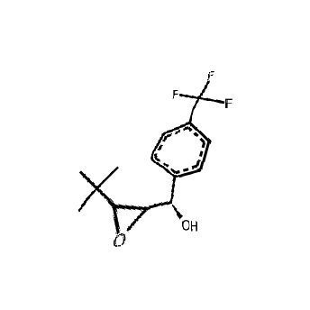 CC(C)(C)C1OC1[C@H](O)c1ccc(C(F)(F)F)cc1